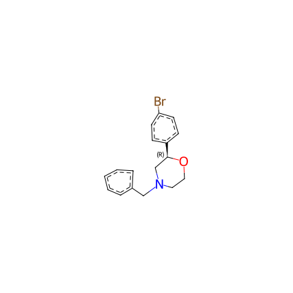 Brc1ccc([C@@H]2CN(Cc3ccccc3)CCO2)cc1